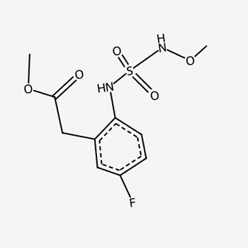 CONS(=O)(=O)Nc1ccc(F)cc1CC(=O)OC